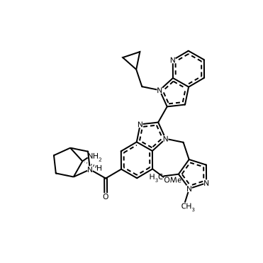 COc1cc(C(=O)N2CC3CCC2[C@@H]3N)cc2nc(-c3cc4cccnc4n3CC3CC3)n(Cc3cnn(C)c3C)c12